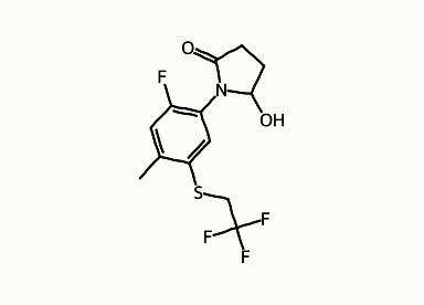 Cc1cc(F)c(N2C(=O)CCC2O)cc1SCC(F)(F)F